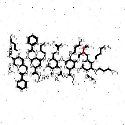 CCCCOC1[C@H](OCCCC)C(COC(C)=O)O[C@H](O[C@@H]2C(C(=O)OC)O[C@@H](O[C@@H]3C(COC(C)=O)O[C@H](O[C@@H]4C(C(=O)OC)O[C@@H](O[C@@H]5C(COC(=O)c6ccccc6)O[C@H](OC)C(N=[N+]=[N-])[C@H]5OCCCC)[C@@H](OC(=O)c5ccccc5)C4OCCCC)[C@@H](N=[N+]=[N-])C3OC(C)=O)[C@@H](OCCCC)C2OCCCC)[C@H]1N=[N+]=[N-]